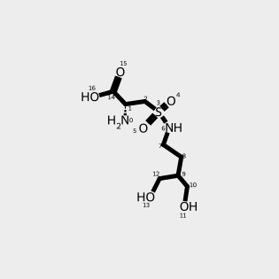 N[C@@H](CS(=O)(=O)NCCC(CO)CO)C(=O)O